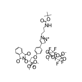 COP(=O)(OC)C(COc1ccc(-c2cn(CCCNC(=O)OC(C)(C)C)[n+](C)c2)cc1)ON1C(=O)c2ccccc2C1=O.COS(=O)(=O)C(F)(F)F.O=S(=O)([O-])C(F)(F)F